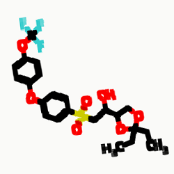 CCC1(CC)OC[C@H](C(O)CS(=O)(=O)c2ccc(Oc3ccc(OC(F)(F)F)cc3)cc2)O1